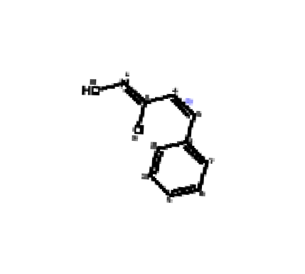 ON=C(Cl)/C=C\c1ccccc1